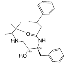 CC(CC(=O)N[C@@H](Cc1ccccc1)[C@H](O)CNC(C)C(C)(C)C)c1ccccc1